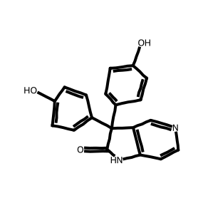 O=C1Nc2ccncc2C1(c1ccc(O)cc1)c1ccc(O)cc1